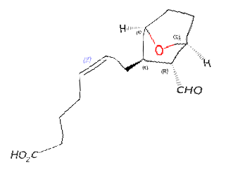 O=C[C@@H]1[C@@H](C/C=C\CCCC(=O)O)[C@H]2CC[C@@H]1O2